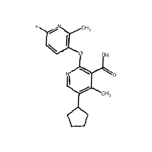 Cc1nc(F)ccc1Oc1ncc(C2CCCC2)c(C)c1C(=O)O